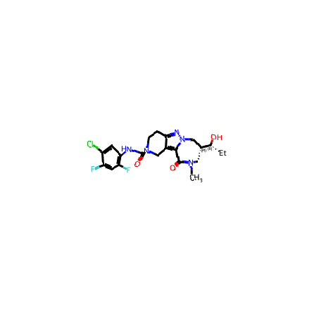 CC[C@@H](O)[C@@H]1CN(C)C(=O)c2c3c(nn2C1)CCN(C(=O)Nc1cc(Cl)c(F)cc1F)C3